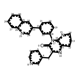 O=c1c(Cc2cccnc2)nc2cccnc2n1-c1cccc(-c2cnc3ccccc3c2)c1